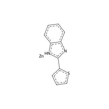 [Zn].c1csc(-c2nc3ccccc3[nH]2)c1